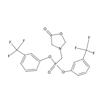 O=C1CN(CP(=O)(Oc2cccc(C(F)(F)F)c2)Oc2cccc(C(F)(F)F)c2)CO1